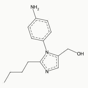 CCCCc1ncc(CO)n1-c1ccc(N)cc1